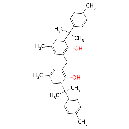 Cc1ccc(C(C)(C)c2cc(C)cc(Cc3cc(C)cc(C(C)(C)c4ccc(C)cc4)c3O)c2O)cc1